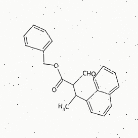 CC(c1cccc2ccccc12)C(C=O)C(=O)OCc1ccccc1